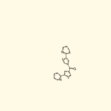 O=C(c1csc(-c2ccccn2)c1)c1csc(-c2ccccn2)c1